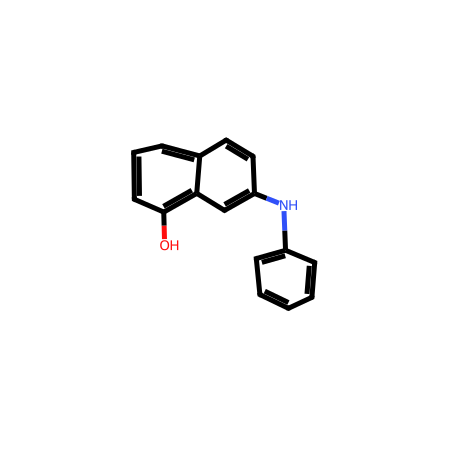 Oc1cccc2ccc(Nc3ccccc3)cc12